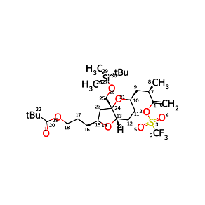 C=C(OS(=O)(=O)C(F)(F)F)[C@H](C)C[C@H]1CC[C@@H]2O[C@@H](CCCOC(=O)C(C)(C)C)C[C@]2(CO[Si](C)(C)C(C)(C)C)O1